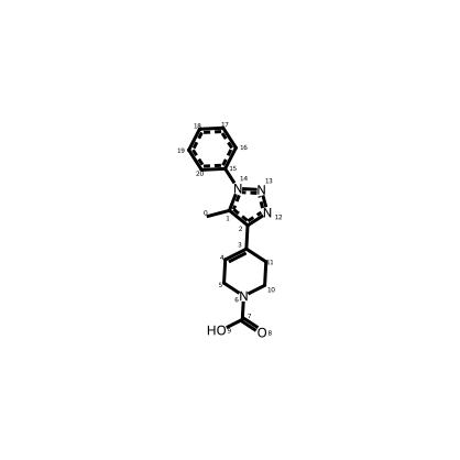 Cc1c(C2=CCN(C(=O)O)CC2)nnn1-c1ccccc1